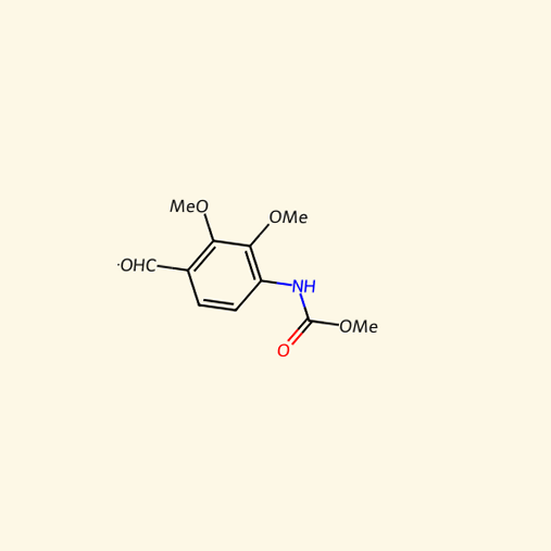 COC(=O)Nc1ccc([C]=O)c(OC)c1OC